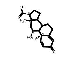 C[C@]12C=CC(=O)C=C1CCC1C2[C@@H](O)C[C@@]2(C)C1CC[C@@H]2C(=O)O